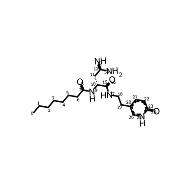 CCCCCCCC(=O)N[C@H](CC(=N)N)C(=O)NCCc1ccc(=O)[nH]c1